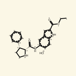 CCOC(=O)c1cc2cc(NC(=O)[C@@H]3NCC[C@@H]3c3ccccc3)ccc2[nH]1.Cl